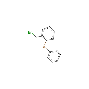 BrCc1ccccc1Sc1ccccc1